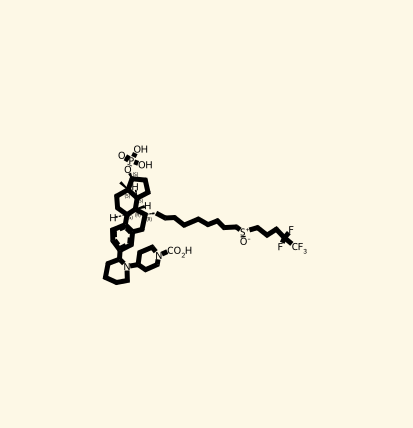 C[C@]12CC[C@@H]3c4ccc(C5CCCCN5C5CCN(C(=O)O)CC5)cc4C[C@@H](CCCCCCCCC[S+]([O-])CCCC(F)(F)C(F)(F)F)[C@H]3[C@@H]1CC[C@@H]2OP(=O)(O)O